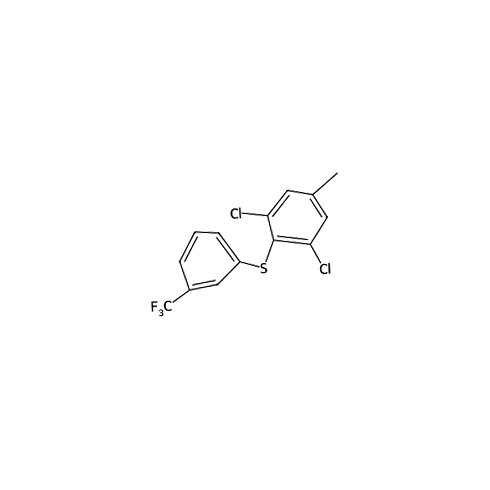 Cc1cc(Cl)c(Sc2cccc(C(F)(F)F)c2)c(Cl)c1